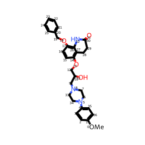 COc1ccc(N2CCN(CC(O)COc3ccc(OCc4ccccc4)c4c3CCC(=O)N4)CC2)cc1